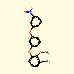 COc1c(C)cccc1Oc1cccc(Oc2cccc([N+](=O)[O-])c2)c1